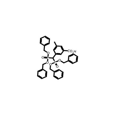 Cc1cc(C(=O)O)cc(C(P(=O)(OCc2ccccc2)OCc2ccccc2)P(=O)(OCc2ccccc2)OCc2ccccc2)c1